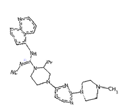 CC(C)C1CN(c2ccnc(N3CCN(C)CC3)n2)CCN1/C(=N\C#N)Nc1cccc2ncccc12